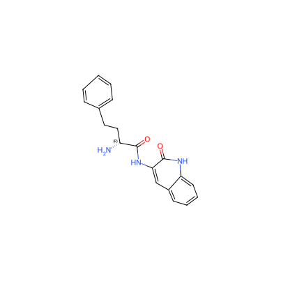 N[C@H](CCc1ccccc1)C(=O)Nc1cc2ccccc2[nH]c1=O